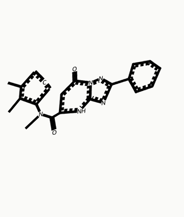 Cc1cccc(N(C)C(=O)c2cc(=O)n3nc(-c4ccccc4)nc3[nH]2)c1C